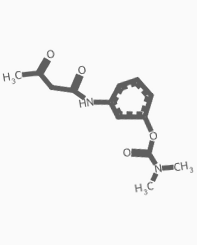 CC(=O)CC(=O)Nc1cccc(OC(=O)N(C)C)c1